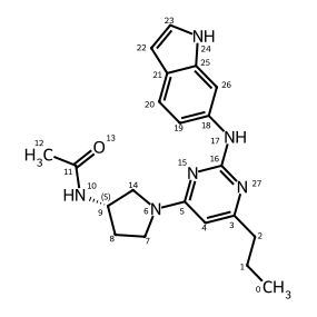 CCCc1cc(N2CC[C@H](NC(C)=O)C2)nc(Nc2ccc3cc[nH]c3c2)n1